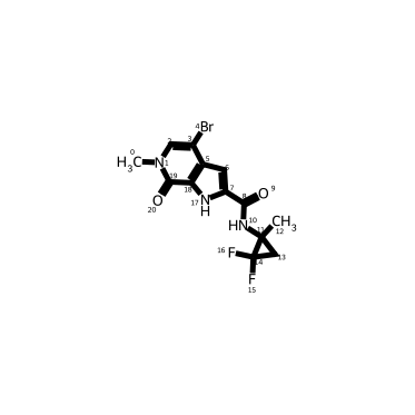 Cn1cc(Br)c2cc(C(=O)NC3(C)CC3(F)F)[nH]c2c1=O